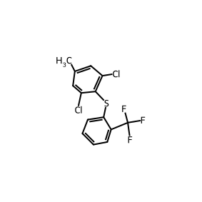 Cc1cc(Cl)c(Sc2ccccc2C(F)(F)F)c(Cl)c1